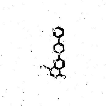 CCCn1cnc(=O)c2ccc(N3CC=C(c4cccnc4)CC3)nc21